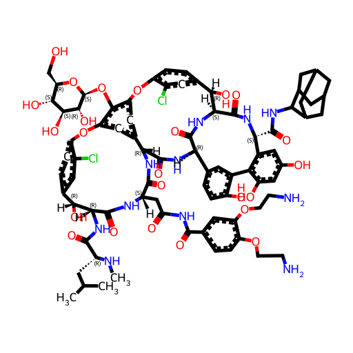 CN[C@H](CC(C)C)C(=O)N[C@H]1C(=O)N[C@@H](CC(=O)NC(=O)c2ccc(OCCN)c(OCCN)c2)C(=O)N[C@H]2C(=O)N[C@H]3C(=O)N[C@H](C(=O)N[C@H](C(=O)NC4C5CC6CC(C5)CC4C6)c4cc(O)cc(O)c4-c4cc3ccc4O)[C@H](O)c3ccc(c(Cl)c3)Oc3cc2cc(c3O[C@@H]2O[C@H](CO)[C@@H](O)[C@H](O)[C@H]2O)Oc2ccc(cc2Cl)[C@H]1O